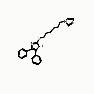 c1ccc(-c2nc(SCCCCCCn3ccnc3)[nH]c2-c2ccccc2)cc1